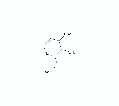 CC(=O)OCC1OC=CC(OC(C)=O)C1C